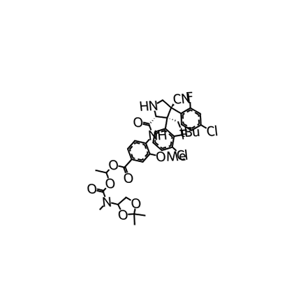 COc1cc(C(=O)OC(C)OC(=O)N(C)C2COC(C)(C)O2)ccc1NC(=O)[C@@H]1NC[C@](C#N)(c2ccc(Cl)cc2F)[C@@]1(CC(C)(C)C)c1cccc(Cl)c1F